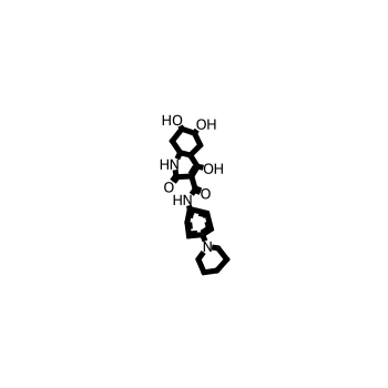 O=C(Nc1ccc(N2CCCCC2)cc1)C1=C(O)C2CC(O)C(O)CC2NC1=O